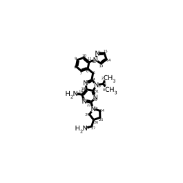 CC(C)n1c(Cc2ccccc2-n2cccn2)nc2c(N)nc(N3CCC(CN)C3)nc21